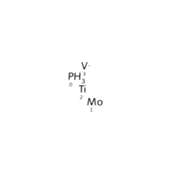 P.[Mo].[Ti].[V]